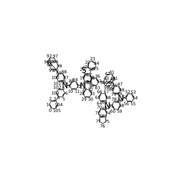 c1ccc(-c2ccc(N(c3ccc(N(c4ccc5c(c4)sc4ccccc45)c4ccccc4-c4cccc(C5C6CC7CC5CC(c5ccc(N(c8ccccc8)c8cccc(N(c9ccccc9)c9ccc%10c(c9)CCC%10)c8)cc5)(C7)C6)c4)cc3)c3ccc(C45CC6CC(CC(C6)C4)C5)cc3)cc2)cc1